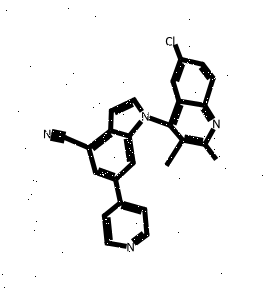 Cc1nc2ccc(Cl)cc2c(-n2ccc3c(C#N)cc(-c4ccncc4)cc32)c1C